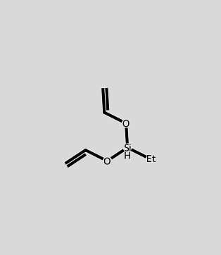 C=CO[SiH](CC)OC=C